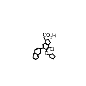 O=C(O)CC1CCc2c1cc(-c1ccc3ccccc3c1)c(OC1CCCC1)c2Cl